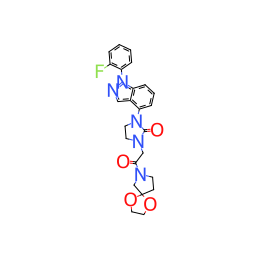 O=C(CN1CCN(c2cccc3c2cnn3-c2ccccc2F)C1=O)N1CCC2(C1)OCCO2